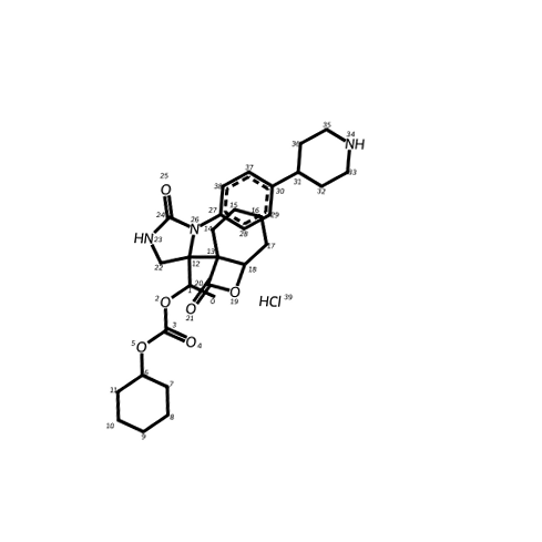 CC(OC(=O)OC1CCCCC1)C1(C23CCCCC2OC3=O)CNC(=O)N1c1ccc(C2CCNCC2)cc1.Cl